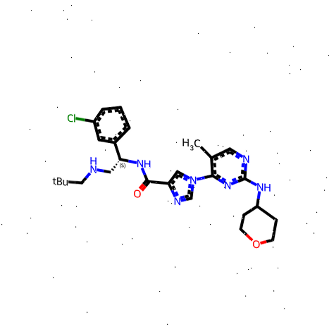 Cc1cnc(NC2CCOCC2)nc1-n1cnc(C(=O)N[C@H](CNCC(C)(C)C)c2cccc(Cl)c2)c1